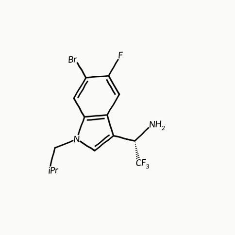 CC(C)Cn1cc([C@H](N)C(F)(F)F)c2cc(F)c(Br)cc21